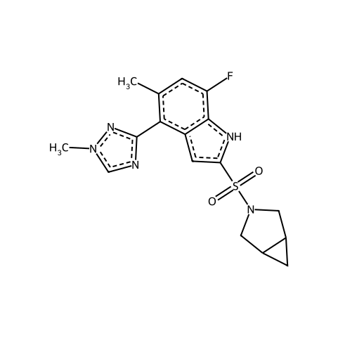 Cc1cc(F)c2[nH]c(S(=O)(=O)N3CC4CC4C3)cc2c1-c1ncn(C)n1